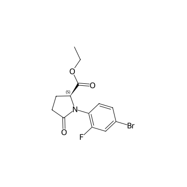 CCOC(=O)[C@@H]1CCC(=O)N1c1ccc(Br)cc1F